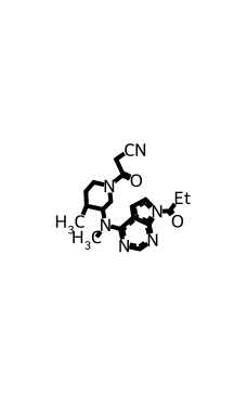 CCC(=O)n1ccc2c(N(C)C3CN(C(=O)CC#N)CCC3C)ncnc21